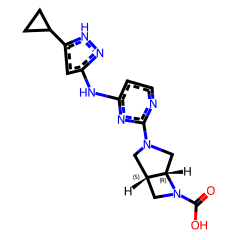 O=C(O)N1C[C@@H]2CN(c3nccc(Nc4cc(C5CC5)[nH]n4)n3)C[C@@H]21